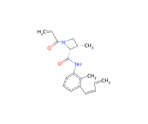 C=C/C=C\c1cccc(NC(=O)[C@H]2[C@@H](C)CN2C(=O)C=C)c1C